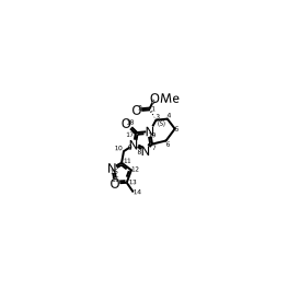 COC(=O)[C@@H]1CCCc2nn(Cc3cc(C)on3)c(=O)n21